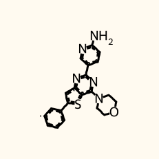 Nc1ccc(-c2nc(N3CCOCC3)c3sc(-c4c[c]ccc4)cc3n2)cn1